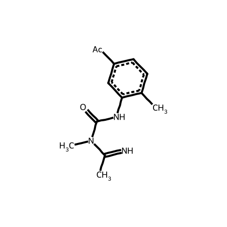 CC(=N)N(C)C(=O)Nc1cc(C(C)=O)ccc1C